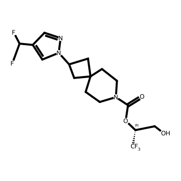 O=C(O[C@H](CO)C(F)(F)F)N1CCC2(CC1)CC(n1cc(C(F)F)cn1)C2